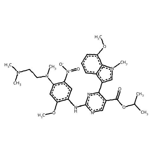 COc1cc(N(C)CCN(C)C)c([N+](=O)[O-])cc1Nc1ncc(C(=O)OC(C)C)c(-c2cn(C)c3c(OC)cccc23)n1